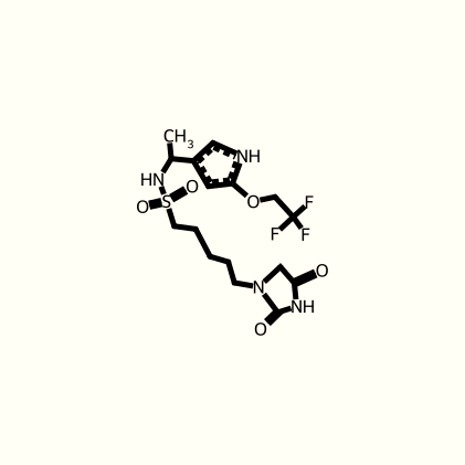 CC(NS(=O)(=O)CCCCCN1CC(=O)NC1=O)c1c[nH]c(OCC(F)(F)F)c1